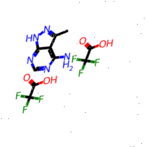 Cc1n[nH]c2ncnc(N)c12.O=C(O)C(F)(F)F.O=C(O)C(F)(F)F